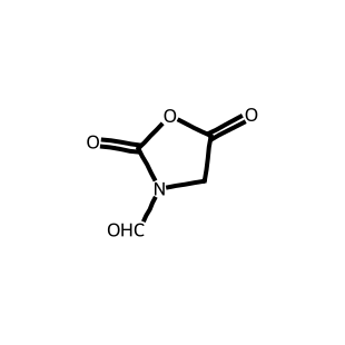 O=CN1CC(=O)OC1=O